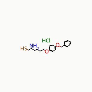 Cl.N[C@@H](CS)CCCCOc1ccc(OCc2ccccc2)cc1